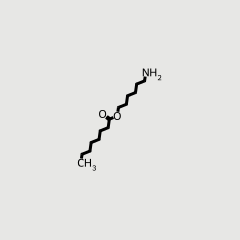 CCCCCCCC(=O)OCCCCCCN